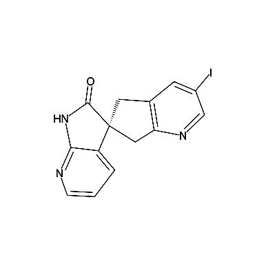 O=C1Nc2ncccc2[C@@]12Cc1cc(I)cnc1C2